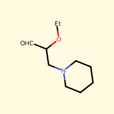 CCOC(C=O)CN1CCCCC1